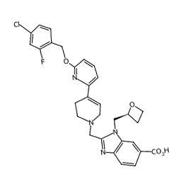 O=C(O)c1ccc2nc(CN3CC=C(c4cccc(OCc5ccc(Cl)cc5F)n4)CC3)n(C[C@@H]3CCO3)c2c1